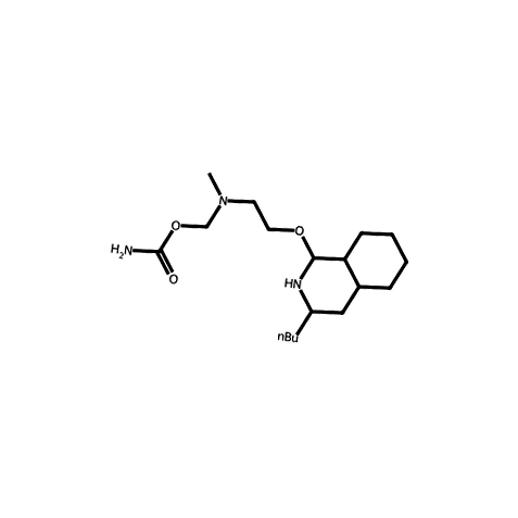 CCCCC1CC2CCCCC2C(OCCN(C)COC(N)=O)N1